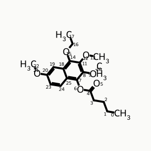 CCCCC(=O)Oc1c(OC)c(OC)c(OCC)c2cc(OC)ccc12